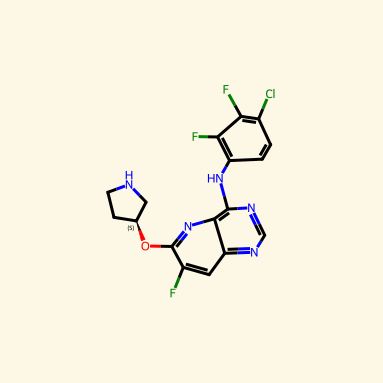 Fc1cc2ncnc(Nc3ccc(Cl)c(F)c3F)c2nc1O[C@H]1CCNC1